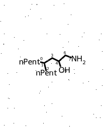 CCCCCC(CCCCC)CC(O)CN